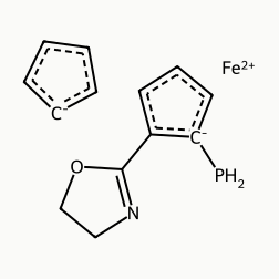 P[c-]1cccc1C1=NCCO1.[Fe+2].c1cc[cH-]c1